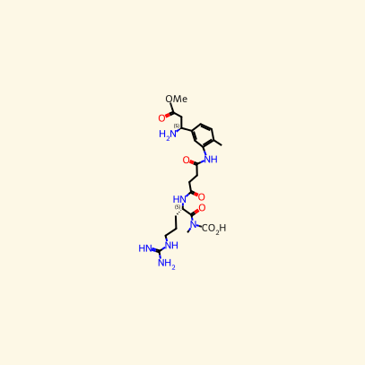 COC(=O)C[C@H](N)c1ccc(C)c(NC(=O)CCC(=O)N[C@@H](CCCNC(=N)N)C(=O)N(C)C(=O)O)c1